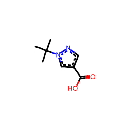 CC(C)(C)n1cc(C(=O)O)cn1